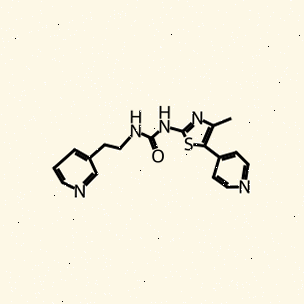 Cc1nc(NC(=O)NCCc2cccnc2)sc1-c1ccncc1